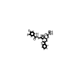 O=C(C[C@@H](Cc1csc2ccccc12)n1cc(CNC(=O)c2ccc(F)c(F)c2)nn1)NO